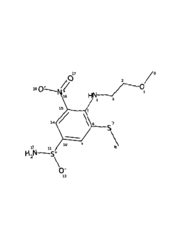 COCCNc1c(SC)cc([S+](N)[O-])cc1[N+](=O)[O-]